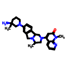 CC1CN(c2cc(=O)n(C)c3ncccc23)CC2c3ccc(N4CCCC(C)(N)C4)cc3CN12